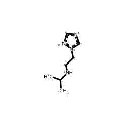 CC(C)NCCn1cncn1